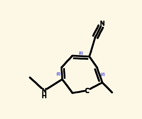 CN/C1=C/C=C(C#N)\C=C(\C)CC1